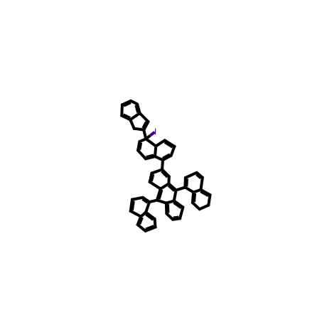 IC1(C2=Cc3ccccc3C2)C=CC=C2C(c3ccc4c(-c5cccc6ccccc56)c5ccccc5c(-c5cccc6c5=CCCC=6)c4c3)=CC=CC21